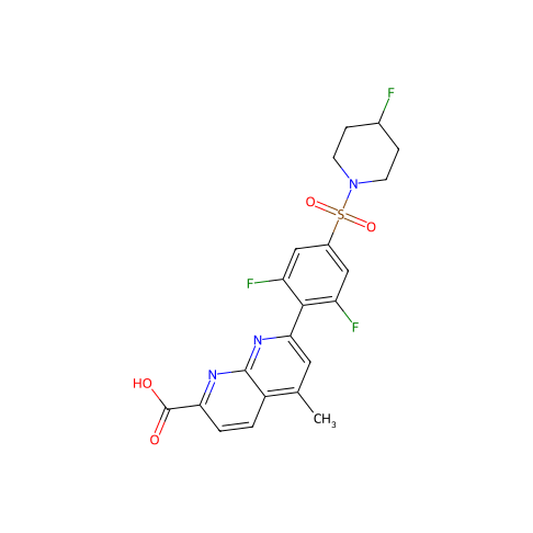 Cc1cc(-c2c(F)cc(S(=O)(=O)N3CCC(F)CC3)cc2F)nc2nc(C(=O)O)ccc12